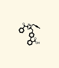 CC#CCn1nc(C(=O)c2ccccc2)nc1Cc1ccc(-c2ccccc2C(=O)O)cc1